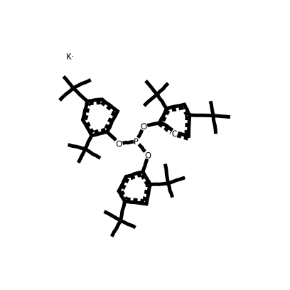 CC(C)(C)c1ccc(OP(Oc2ccc(C(C)(C)C)cc2C(C)(C)C)Oc2ccc(C(C)(C)C)cc2C(C)(C)C)c(C(C)(C)C)c1.[K]